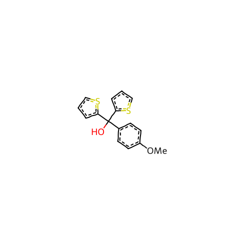 COc1ccc(C(O)(c2cccs2)c2cccs2)cc1